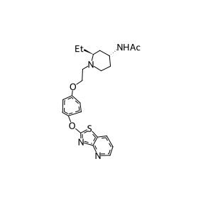 CC[C@H]1C[C@H](NC(C)=O)CCN1CCOc1ccc(Oc2nc3ncccc3s2)cc1